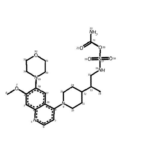 COc1cc2nccc(N3CCC(C(C)CNS(=O)(=O)OC(N)=O)CC3)c2cc1N1CCOCC1